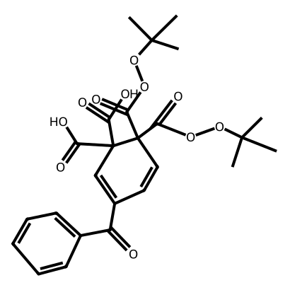 CC(C)(C)OOC(=O)C1(C(=O)OOC(C)(C)C)C=CC(C(=O)c2ccccc2)=CC1(C(=O)O)C(=O)O